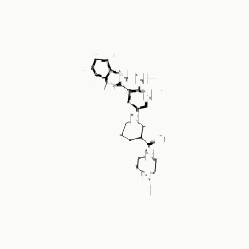 Nc1ncc(N2CCCC(C(=O)N3CCNCC3)C2)cc1-c1nc2ccccc2o1